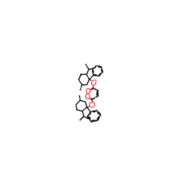 CC1CCC(C(C)C)C(OC(=O)/C=C\C(=O)OC2(c3ccccc3)CC(C)CCC2C(C)C)(c2ccccc2)C1